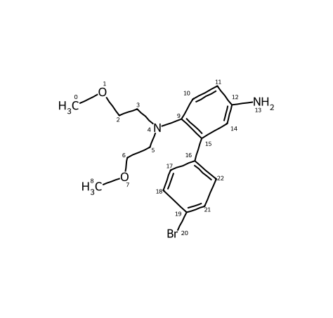 COCCN(CCOC)c1ccc(N)cc1-c1ccc(Br)cc1